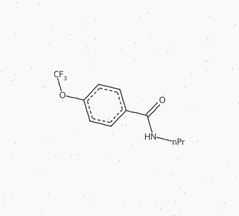 CCCNC(=O)c1ccc(OC(F)(F)F)cc1